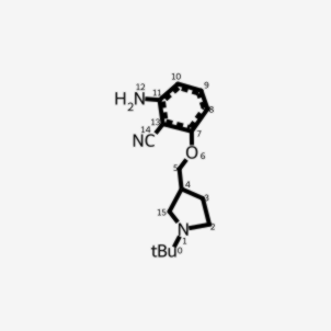 CC(C)(C)N1CCC(COc2cccc(N)c2C#N)C1